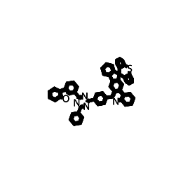 c1ccc(-c2nc(-c3ccc(-c4nc5ccccc5c5cc6c(cc45)-c4ccccc4C64c5ccccc5Sc5ccccc54)cc3)nc(-c3cccc4c3oc3ccccc34)n2)cc1